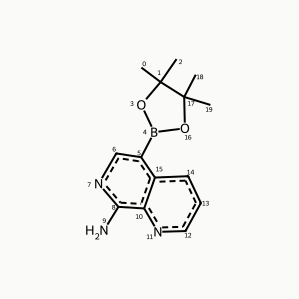 CC1(C)OB(c2cnc(N)c3ncccc23)OC1(C)C